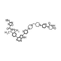 Cc1cc(-c2ncnc3[nH]c(-c4ccc(N5CCN(CC6CCN(c7ccc(N8CCC(=O)NC8=O)nc7)CC6)CC5)cn4)cc23)ccc1C(C)NC(=O)c1nc(C(C)(C)C)no1